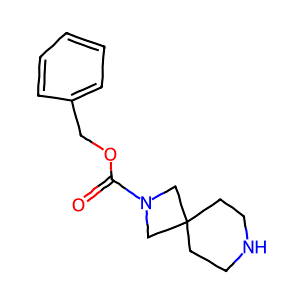 O=C(OCc1ccccc1)N1CC2(CCNCC2)C1